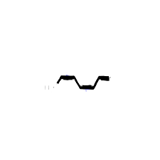 C/C=C\C=C/C=S